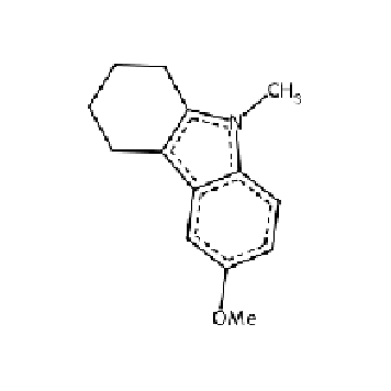 COc1ccc2c(c1)c1c(n2C)CCCC1